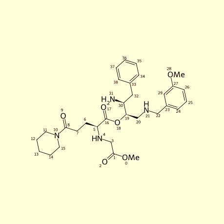 COC(=O)CN[C@@H](CCC(=O)N1CCCCC1)C(=O)O[C@H](CNCc1cccc(OC)c1)[C@@H](N)Cc1ccccc1